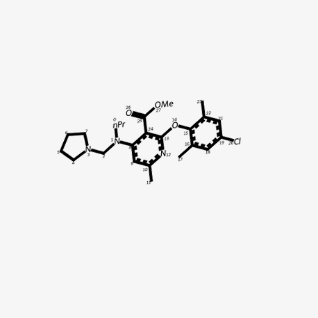 CCCN(CN1CCCC1)c1cc(C)nc(Oc2c(C)cc(Cl)cc2C)c1C(=O)OC